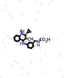 CC(=O)N1c2ccccc2[C@H](Nc2cccc(CNC(=O)O)c2)[C@@H](C)[C@@H]1C1CC1